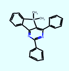 C[Si]1(C)c2ccccc2-c2nc(-c3ccccc3)nc(-c3ccccc3)c21